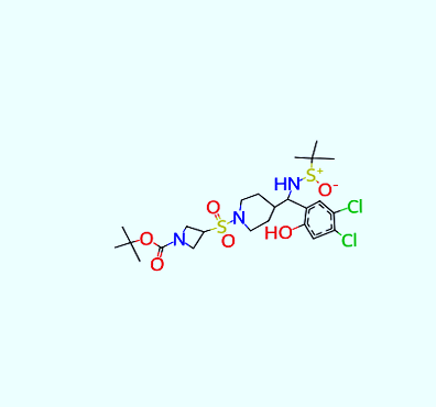 CC(C)(C)OC(=O)N1CC(S(=O)(=O)N2CCC(C(N[S+]([O-])C(C)(C)C)c3cc(Cl)c(Cl)cc3O)CC2)C1